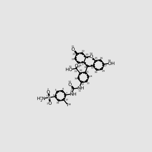 NS(=O)(=O)c1ccc(NC(=O)Nc2ccc(-c3c4ccc(=O)cc-4oc4cc(O)ccc34)c(C(=O)O)c2)c(I)c1